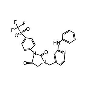 O=C1CN(Cc2ccnc(Nc3ccccc3)c2)C(=O)N1c1ccc(S(=O)(=O)C(F)(F)F)cc1